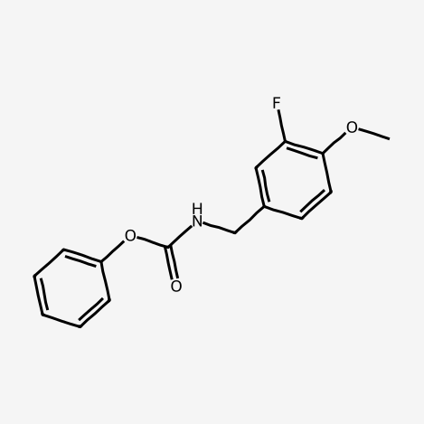 COc1ccc(CNC(=O)Oc2ccccc2)cc1F